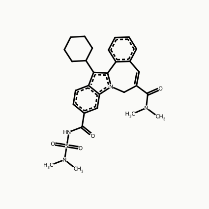 CN(C)C(=O)C1=Cc2ccccc2-c2c(C3CCCCC3)c3ccc(C(=O)NS(=O)(=O)N(C)C)cc3n2C1